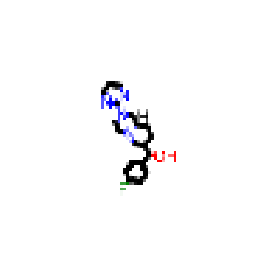 OC(c1ccc(F)cc1)C1CC[C@H]2CN(c3ncccn3)CCN2C1